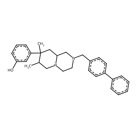 CC1CN2CCN(Cc3ccc(-c4ccccc4)cc3)CC2CC1(C)c1cccc(O)c1